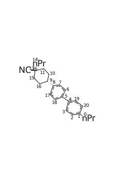 CCCc1ccc(-c2ccc([C@H]3CC[C@@](C#N)(CCC)CC3)cc2)cc1